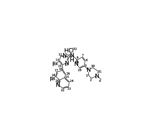 CN1CCN(c2ccc(Nc3ncc(F)c(-c4cc(F)c5ncccc5c4)n3)nc2)CC1.Cl